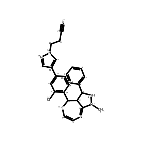 CN1NC(c2ccccn2)C2C1=NC=CSC2c1ccc(-c2cnn(CCC#N)c2)cc1Cl